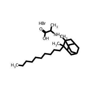 Br.CC(N)C(=O)O.CCCCCCCCCCC1(C)C2CC3CC(C2)CC1(C)C3